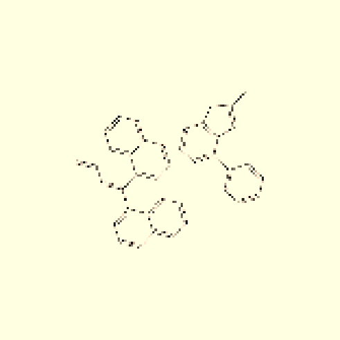 C=CC=C(c1cccc2ccccc12)c1cccc2ccccc12.CC1=Cc2c(cccc2-c2ccccc2)C1